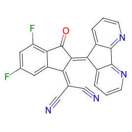 N#CC(C#N)=C1C(=C2c3cccnc3-c3ncccc32)C(=O)c2c(F)cc(F)cc21